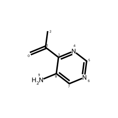 C=C(C)c1ncncc1N